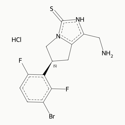 Cl.NCc1[nH]c(=S)n2c1C[C@@H](c1c(F)ccc(Br)c1F)C2